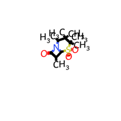 CC1C(=O)N2C(C)C(C)(C)C(C)(C)S(=O)(=O)C12